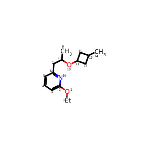 CCOc1cccc(CC(C)OC2CC(C)C2)n1